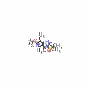 Cc1cc([C@@H](C)N[S+]([O-])C(C)(C)C)cnc1OC1CCC1